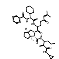 CCC[C@H](NC(=O)[C@@H]1[C@H]2CCC[C@H]2CN1C(=O)[C@H](CCC(=O)C=C(C)C)NC(=O)[C@@H](NC(=O)c1cnccn1)C1CCCCC1)C(=O)C(=O)NC1CC1